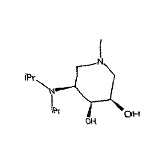 CC(C)N(C(C)C)[C@H]1CN(C)C[C@@H](O)[C@H]1O